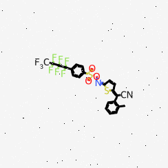 Cc1ccccc1/C(C#N)=C1C=C/C(=N\OS(=O)(=O)c2ccc(C(F)(F)C(F)(F)C(F)(F)C(F)(F)F)cc2)S/1